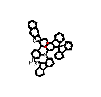 CC1(C)c2c(cccc2N(c2ccc3c(c2)C2(c4ccccc4-c4ccccc42)c2ccccc2-3)c2ccccc2-c2cccc3c2oc2cc4ccccc4cc23)C2C=CC=CC21